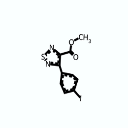 COC(=O)c1nsnc1-c1ccc(I)cc1